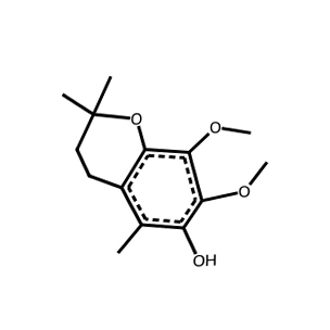 COc1c(O)c(C)c2c(c1OC)OC(C)(C)CC2